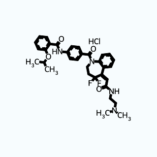 CC(C)Oc1ccccc1C(=O)Nc1ccc(C(=O)N2CCC(F)(F)C(=CC(=O)NCCN(C)C)c3ccccc32)cc1.Cl